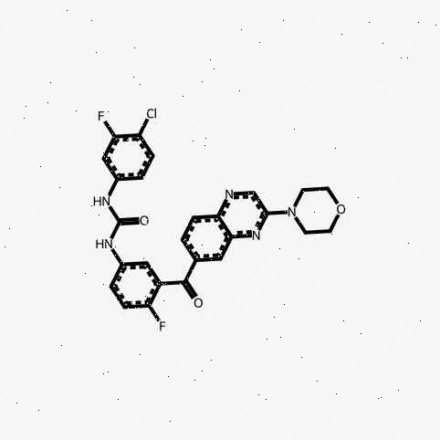 O=C(Nc1ccc(Cl)c(F)c1)Nc1ccc(F)c(C(=O)c2ccc3ncc(N4CCOCC4)nc3c2)c1